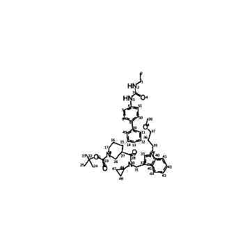 CCNC(=O)Nc1ccc(-c2cccc([C@H]3CCN(C(=O)OC(C)(C)C)C[C@@H]3C(=O)N(Cc3cn(CCCOC)c4ccccc34)C3CC3)c2)cc1